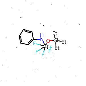 CC[Si](CC)(CC)[O][Zn]([F])([F])([F])([F])([F])[NH]c1ccccc1